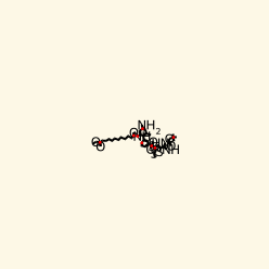 COC(=O)CCCCCCCCCCC(=O)Nc1cc(N)cc(C)c1-c1cccc(S(=O)(=O)c2cc(C(=N)NC(=O)OC(C)(C)C)sc2SC)c1